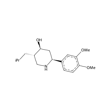 COc1ccc([C@@H]2C[C@H](O)[C@@H](CC(C)C)CN2)cc1OC